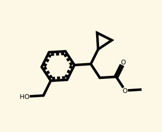 COC(=O)CC(c1cccc(CO)c1)C1CC1